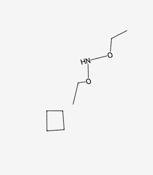 C1CCC1.CCONOCC